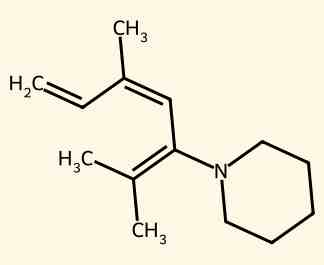 C=C/C(C)=C\C(=C(C)C)N1CCCCC1